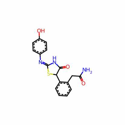 NC(=O)Cc1ccccc1C1S/C(=N/c2ccc(O)cc2)NC1=O